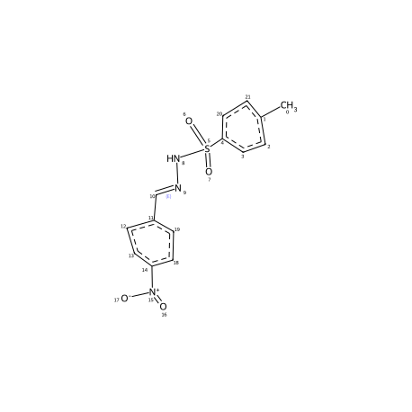 Cc1ccc(S(=O)(=O)N/N=C/c2ccc([N+](=O)[O-])cc2)cc1